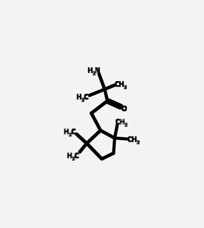 CC(C)(N)C(=O)CC1C(C)(C)CCC1(C)C